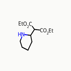 CCOC(=O)C(C(=O)OCC)C1CCCCN1